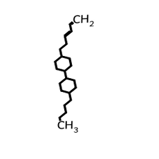 C=C/C=C/CCC1CCC(C2CCC(CCCCC)CC2)CC1